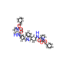 O=C(Nc1ccc(CN(Cc2ccc(NC(=O)[C@@H]3CCCN3C(=O)OCc3ccccc3)cc2)c2ccccc2)cc1)C1CCCN1C(=O)OCc1ccccc1